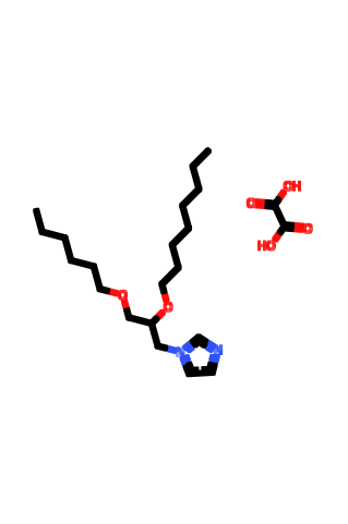 CCCCCCCCOC(COCCCCCC)Cn1ccnc1.O=C(O)C(=O)O